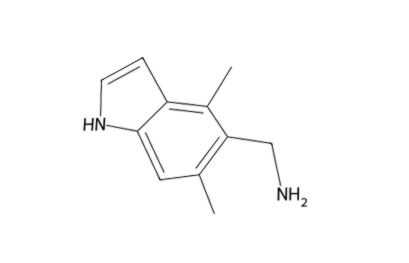 Cc1cc2[nH]ccc2c(C)c1CN